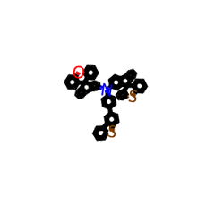 c1ccc2c(c1)Oc1ccccc1C21c2ccccc2-c2cc(N(c3ccc(-c4ccc5sc6ccccc6c5c4)cc3)c3ccc4c(c3)C3(c5ccccc5Sc5ccccc53)c3ccccc3-4)ccc21